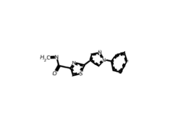 C=NC(=O)c1csc(-c2cnn(-c3ccccc3)c2)n1